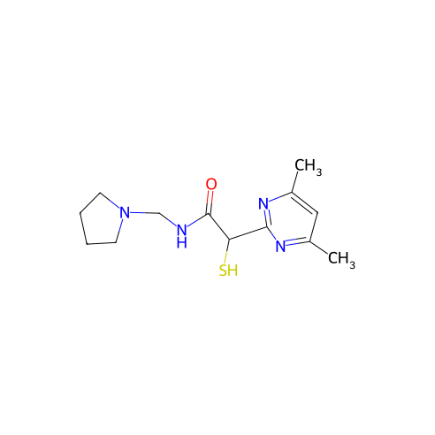 Cc1cc(C)nc(C(S)C(=O)NCN2CCCC2)n1